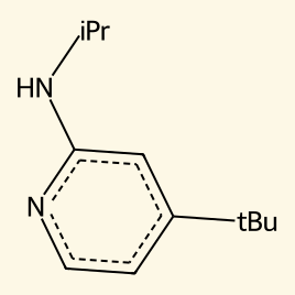 CC(C)Nc1cc(C(C)(C)C)ccn1